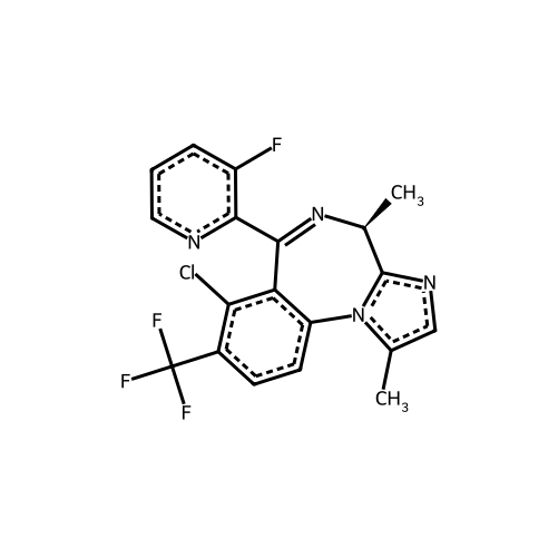 Cc1cnc2n1-c1ccc(C(F)(F)F)c(Cl)c1C(c1ncccc1F)=N[C@H]2C